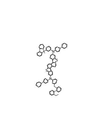 CCc1ccccc1-c1ccccc1Cc1cccc(N(c2ccc(-c3ccccc3)cc2)c2ccc3c(c2)sc2ccc4c(ccc5sc6cc(N(c7ccc(-c8ccccc8)cc7)c7cccc(C8(C)c9ccccc9-c9ccccc98)c7)ccc6c54)c23)c1